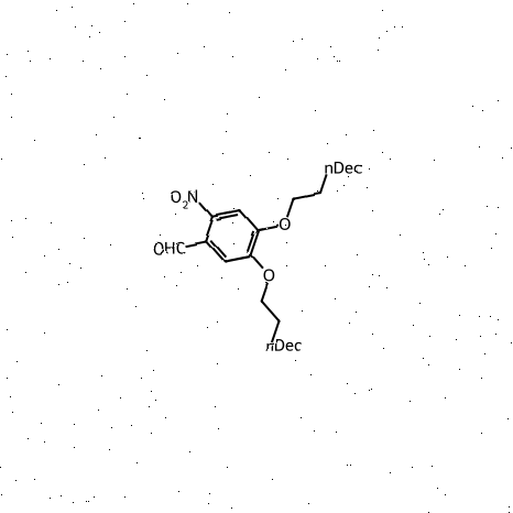 CCCCCCCCCCCCOc1cc(C=O)c([N+](=O)[O-])cc1OCCCCCCCCCCCC